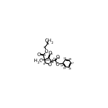 C=CCOC(=O)C1(C)CON(C(=O)Oc2ccccc2)C1=O